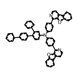 c1ccc(-c2ccc(-c3ccc(N(c4ccc(-c5nccc6c5oc5ccccc56)cc4)c4ccc(-c5nccc6c5oc5ccccc56)cc4)cc3-c3ccccc3)cc2)cc1